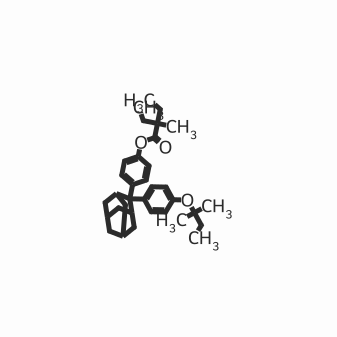 CCC(C)(C)Oc1ccc(C2(c3ccc(OC(=O)C(C)(CC)CC)cc3)C3CC4CC(C3)CC2C4)cc1